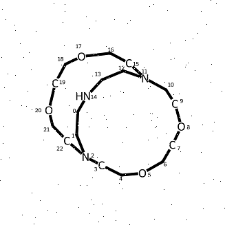 C1CN2CCOCCOCCN(CCN1)CCOCCOCC2